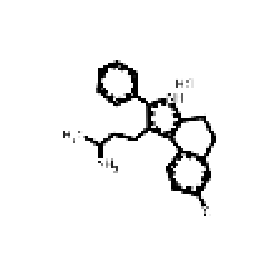 CC(N)CCc1c(-c2ccccc2)[nH]c2c1-c1ccc(Cl)cc1CC2.Cl